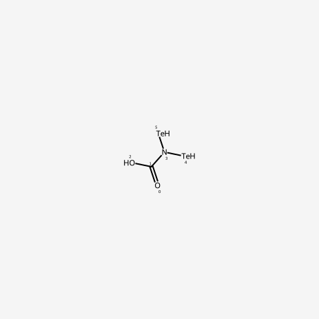 O=C(O)N([TeH])[TeH]